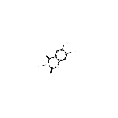 COc1cc2[nH]c(=S)n(C(C)C)c(=O)c2cc1OC